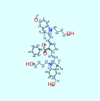 COc1ccc2c(c1)C(C)(C)/C(=C\C=C1/CCC(/C=C/C3=[N+](CCCCO)c4ccc(CO)cc4C3(C)C)=C1S(=O)(=O)c1ccccc1)N2CCCCO